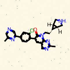 Cc1cncc(-c2ccc(-c3cc4cnc(C)nc4n(CC[C@@H]4[C@H]5CNC[C@@H]45)c3=O)c(Cl)c2)n1